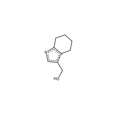 OCc1cnc2n1CCCC2